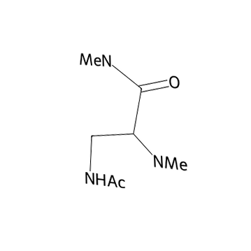 CNC(=O)C(CNC(C)=O)NC